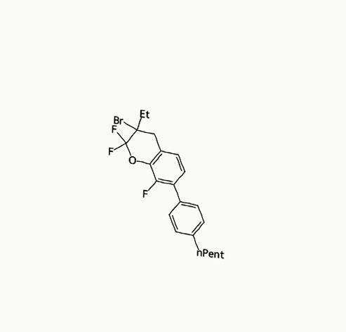 CCCCCc1ccc(-c2ccc3c(c2F)OC(F)(F)C(Br)(CC)C3)cc1